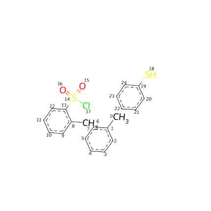 Cc1ccccc1.Cc1ccccc1S(=O)(=O)Cl.Sc1ccccc1